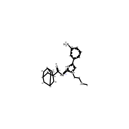 COCCn1cc(-c2cccc(N)c2)s/c1=N\C(=O)C12CC3CC(CC(C3)C1)C2